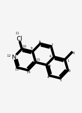 Cc1cccc2c1ccc1c(Cl)nccc12